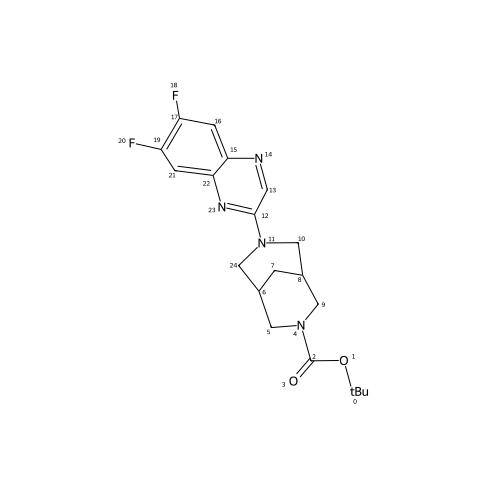 CC(C)(C)OC(=O)N1CC2CC(C1)CN(c1cnc3cc(F)c(F)cc3n1)C2